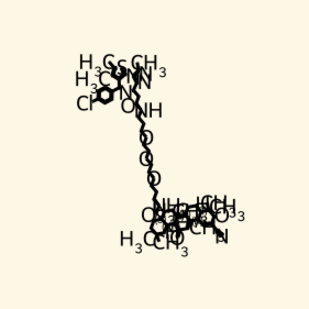 Cc1sc2c(c1C)C(c1ccc(Cl)cc1)=NC(CC(=O)NCCCOCCOCCOCCCNC(=O)[C@]13CCC(C)(C)C[C@H]1[C@H]1C(=O)C=C4[C@@]5(C)C=C(C#N)C(=O)C(C)(C)[C@@H]5CC[C@@]4(C)[C@]1(C)CC3)c1nnc(C)n1-2